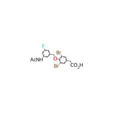 CC(=O)Nc1cc(F)cc(COc2c(Br)cc(CC(=O)O)cc2Br)c1